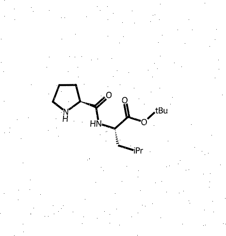 CC(C)C[C@H](NC(=O)[C@@H]1CCCN1)C(=O)OC(C)(C)C